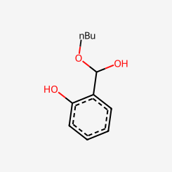 CCCCOC(O)c1ccccc1O